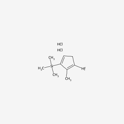 CC1=[C]([Hf])CC=C1[Si](C)(C)C.Cl.Cl